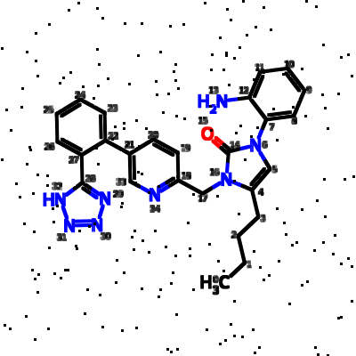 CCCCc1cn(-c2ccccc2N)c(=O)n1Cc1ccc(-c2ccccc2-c2nnn[nH]2)cn1